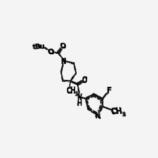 Cc1ncc(NC(=O)C2(C)CCN(C(=O)OC(C)(C)C)CC2)cc1F